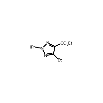 CCOC(=O)c1nn(C(C)C)nc1CC